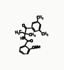 COc1ccccc1C(=O)NC(C)(C)C(=O)c1cc(C)cc(C)c1